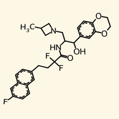 CC1CN(CC(NC(=O)C(F)(F)CCc2ccc3cc(F)ccc3c2)C(O)c2ccc3c(c2)OCCO3)C1